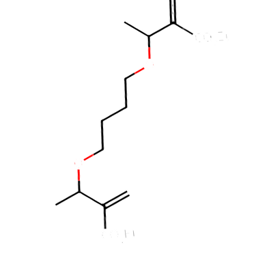 C=C(C(=O)OCC)C(C)OCCCCOC(C)C(=C)C(=O)OCC